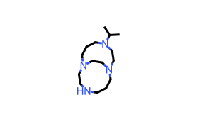 CC(C)N1CCCN2CCNCCCN(CC2)CC1